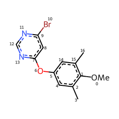 COc1c(C)cc(Oc2cc(Br)ncn2)cc1C